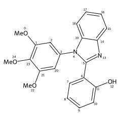 COc1cc(-n2c(-c3ccccc3O)nc3ccccc32)cc(OC)c1OC